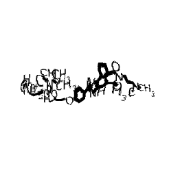 [2H]C[C@H](CCOc1ccc(-c2nc3c(cc4c5c(cccc53)C(=O)N(CCCN(C)C)C4=O)[nH]2)cc1)OP(OCC[N+]#[C-])N(C(C)C)C(C)C